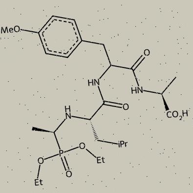 CCOP(=O)(OCC)[C@@H](C)N[C@@H](CC(C)C)C(=O)NC(Cc1ccc(OC)cc1)C(=O)N[C@@H](C)C(=O)O